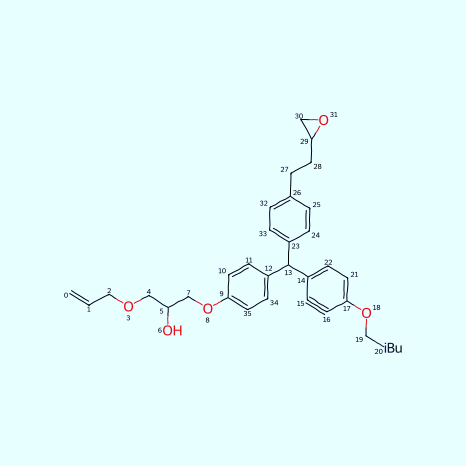 C=CCOCC(O)COc1ccc(C(c2c#cc(OCC(C)CC)cc2)c2ccc(CCC3CO3)cc2)cc1